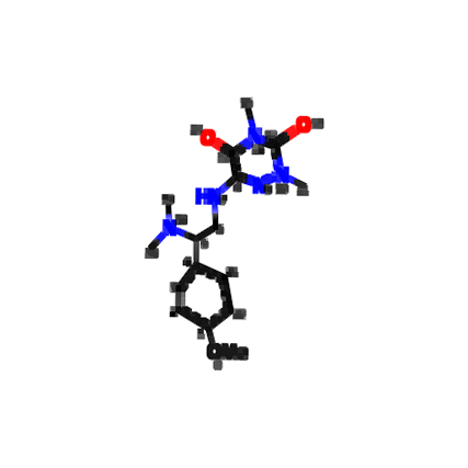 COc1ccc(C(CNc2nn(C)c(=O)n(C)c2=O)N(C)C)cc1